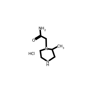 CC1CNCCN1CC(N)=O.Cl